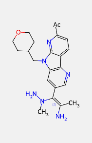 CC(=O)c1ccc2c3ncc(/C(=C(\C)N)N(C)N)cc3n(CC3CCOCC3)c2n1